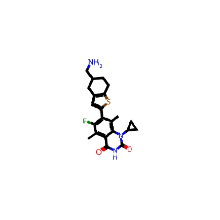 Cc1c(F)c(-c2cc3c(s2)CCC(CN)C3)c(C)c2c1c(=O)[nH]c(=O)n2C1CC1